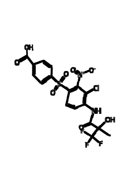 CC(O)(C(=O)Nc1ccc(S(=O)(=O)c2ccc(C(=O)O)cc2)c([N+](=O)[O-])c1Cl)C(F)(F)F